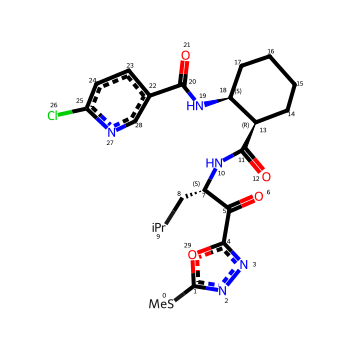 CSc1nnc(C(=O)[C@H](CC(C)C)NC(=O)[C@@H]2CCCC[C@@H]2NC(=O)c2ccc(Cl)nc2)o1